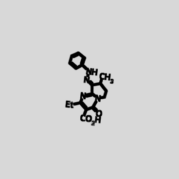 CCc1nc2n(c(=O)c1C(=O)O)CCC(C)C2=NNc1ccccc1